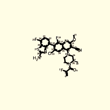 C=C(F)C(=O)N1CCN(c2c(C#N)c(OC)nc3c(F)c(-c4ccc(F)c5sc(N)nc45)c(Cl)cc23)C[C@H]1C